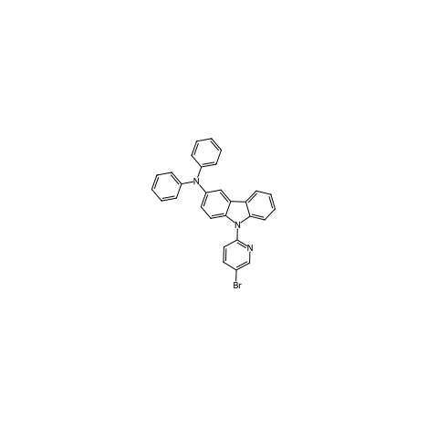 Brc1ccc(-n2c3ccccc3c3cc(N(c4ccccc4)c4ccccc4)ccc32)nc1